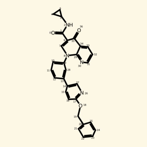 O=C(NC1CC1)c1cn(-c2cccc(-c3ccc(OCc4ccccc4)nc3)c2)c2ncccc2c1=O